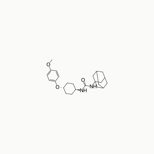 COc1ccc(O[C@H]2CC[C@H](NC(=O)NC34CC5CC(CC(C5)C3)C4)CC2)cc1